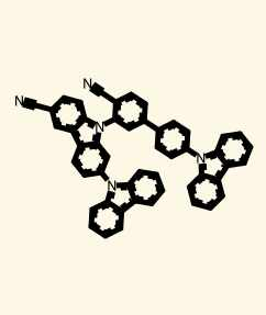 N#Cc1ccc2c(c1)c1ccc(-n3c4ccccc4c4ccccc43)cc1n2-c1cc(-c2ccc(-n3c4ccccc4c4ccccc43)cc2)ccc1C#N